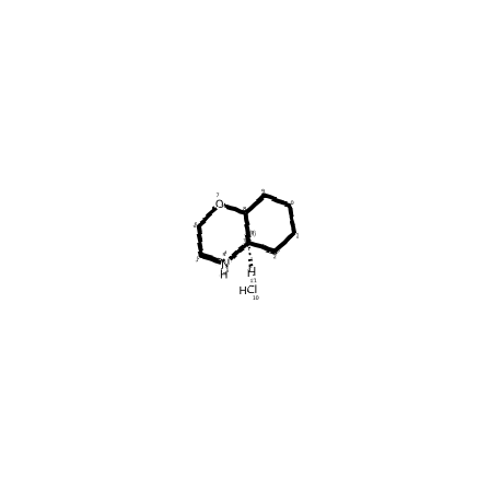 C1CC[C@H]2NCCOC2C1.Cl